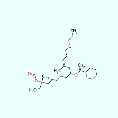 C=C(OC(CCC/C=C/[C@](C)(CC)OC=O)C/C(C)=C\CCOCCC)C1CCCCC1